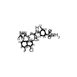 COc1cc(Cl)c2c(C)ccc(-n3c(C)nnc3SCC(=O)Nc3ccc(S(N)(=O)=O)cc3C)c2n1